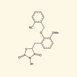 COc1cccc(CC2SC(=O)N(C(C)C)C2=O)c1OCc1ccccc1C#N